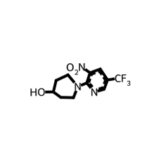 O=[N+]([O-])c1cc(C(F)(F)F)cnc1N1CCC(O)CC1